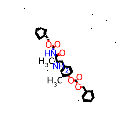 Cc1cc(C[C@](C)(N)C(=O)NC(=O)OCc2ccccc2)ccc1OC(=O)OCc1ccccc1